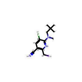 CN(CC(C)(C)C)c1nc(CI)c(C#N)cc1F